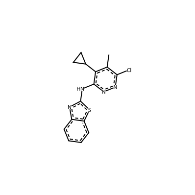 Cc1c(Cl)nnc(Nc2nc3ccccc3s2)c1C1CC1